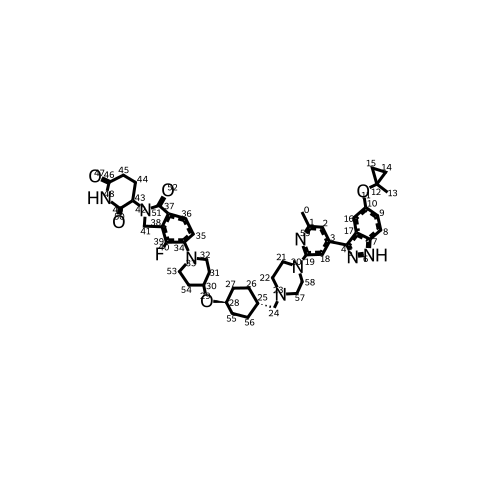 Cc1cc(-c2n[nH]c3ccc(OC4(C)CC4)cc23)cc(N2CCN(C[C@H]3CC[C@H](OC4CCN(c5ccc6c(c5F)CN(C5CCC(=O)NC5=O)C6=O)CC4)CC3)CC2)n1